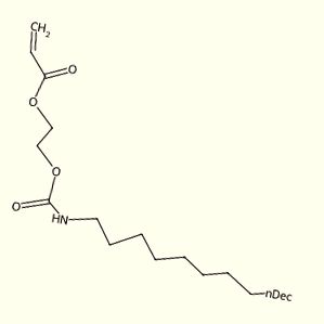 C=CC(=O)OCCOC(=O)NCCCCCCCCCCCCCCCCCC